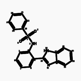 O=S(=O)(Nc1ccccc1-c1nc2ccccc2[nH]1)c1ccccc1